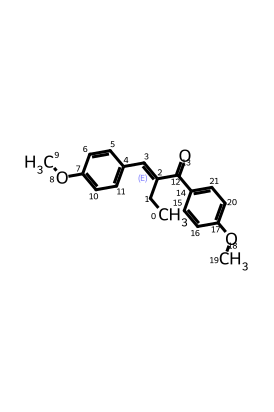 CC/C(=C\c1ccc(OC)cc1)C(=O)c1ccc(OC)cc1